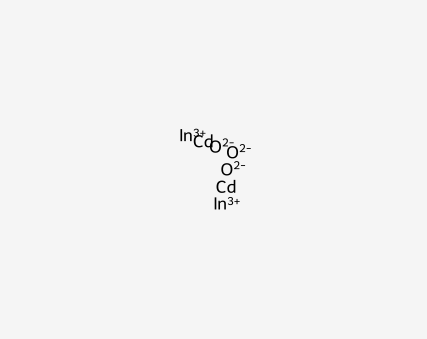 [Cd].[Cd].[In+3].[In+3].[O-2].[O-2].[O-2]